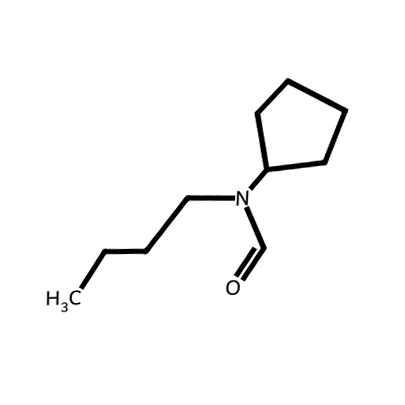 CCCCN(C=O)C1CCCC1